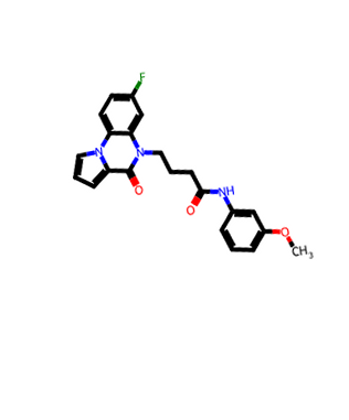 COc1cccc(NC(=O)CCCn2c(=O)c3cccn3c3ccc(F)cc32)c1